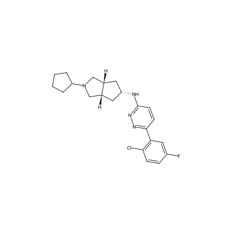 Fc1ccc(Cl)c(-c2ccc(N[C@@H]3C[C@@H]4CN(C5CCCC5)C[C@@H]4C3)nn2)c1